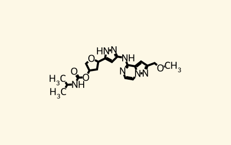 COCc1cc2c(Nc3cc(C4CC(OC(=O)NC(C)C)CO4)[nH]n3)nccn2n1